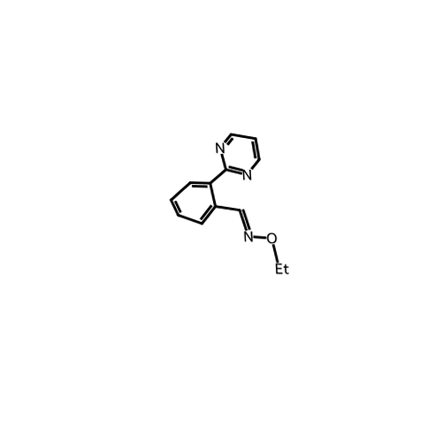 CCO/N=C/c1ccccc1-c1ncccn1